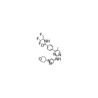 Cc1cnc(Nc2cnn(C3CCOCC3)c2)nc1-c1ccc(C(=O)NC(CF)C(F)F)cc1